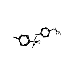 Cc1ccc(S(=O)(=O)Oc2ccc(OC(F)(F)F)cc2)cc1